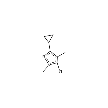 Cc1c(C2CC2)nn(C)c1Cl